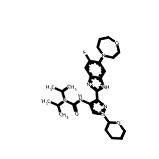 CC(C)N(C(=O)Nc1cn(C2CCCCO2)nc1-c1nc2cc(F)c(N3CCCOCC3)cc2[nH]1)C(C)C